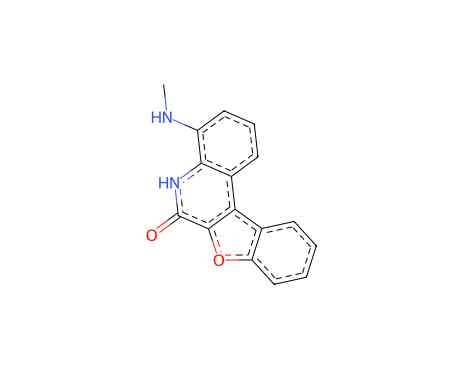 CNc1cccc2c1[nH]c(=O)c1oc3ccccc3c12